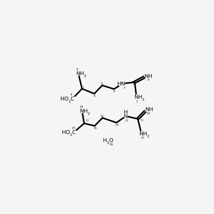 N=C(N)NCCCC(N)C(=O)O.N=C(N)NCCCC(N)C(=O)O.O